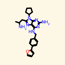 CC(N)Cc1nc2c(NCc3ccc(-c4ccco4)cc3)nc(N)nc2n1C1CCCC1